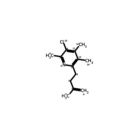 C=C(C)CCc1nc(C)c(Cl)c(C)c1C